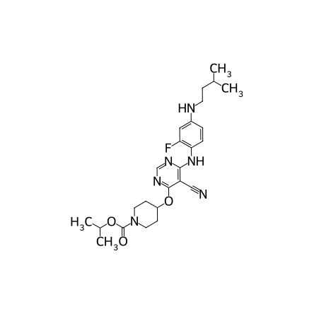 CC(C)CCNc1ccc(Nc2ncnc(OC3CCN(C(=O)OC(C)C)CC3)c2C#N)c(F)c1